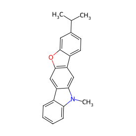 CC(C)c1ccc2c(c1)oc1cc3c4ccccc4n(C)c3cc12